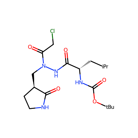 CC(C)C[C@H](NC(=O)OC(C)(C)C)C(=O)NN(C[C@@H]1CCNC1=O)C(=O)CCl